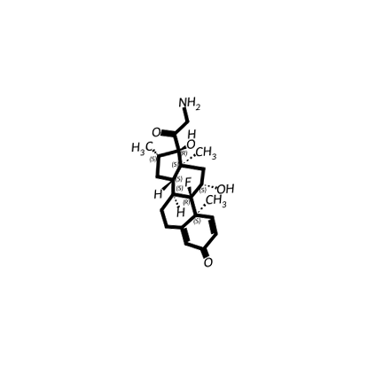 C[C@H]1C[C@H]2[C@@H]3CCC4=CC(=O)C=C[C@]4(C)[C@@]3(F)[C@@H](O)C[C@]2(C)[C@@]1(O)C(=O)CN